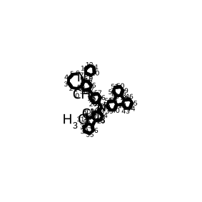 C=C1/C=C\C=C/CN(c2ccccc2)c2ccc(-c3ccc(N(c4ccc5c(c4)C(C)(C)c4ccccc4-5)c4ccc5c6ccccc6c6ccccc6c5c4)cc3)cc21